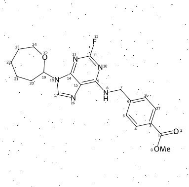 COC(=O)c1ccc(CNc2nc(F)nc3c2ncn3C2CCCCCO2)cc1